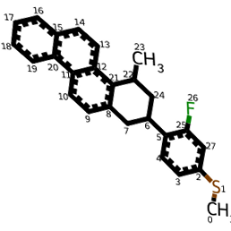 CSc1ccc(C2Cc3ccc4c(ccc5ccccc54)c3C(C)C2)c(F)c1